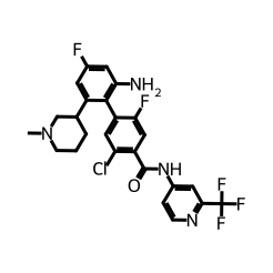 CN1CCCC(c2cc(F)cc(N)c2-c2cc(Cl)c(C(=O)Nc3ccnc(C(F)(F)F)c3)cc2F)C1